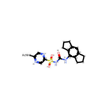 CC(=O)Nc1cnc(S(=O)(=O)NC(=O)Nc2c3c(cc4c2CCC4)CCC3)cn1